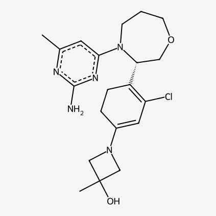 Cc1cc(N2CCCOC[C@@H]2C2=C(Cl)C=C(N3CC(C)(O)C3)CC2)nc(N)n1